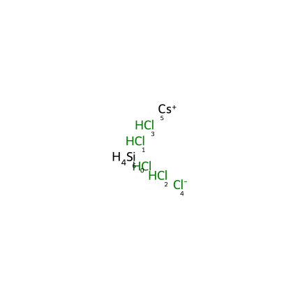 Cl.Cl.Cl.Cl.[Cl-].[Cs+].[SiH4]